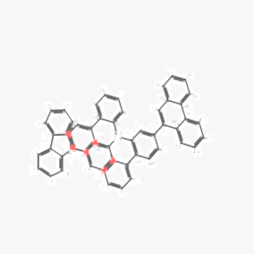 c1ccc(-c2ccccc2N(c2cccc(-n3c4ccccc4c4ccccc43)c2)c2cc(-c3cc4ccccc4c4ccccc34)ccc2-c2ccccc2)cc1